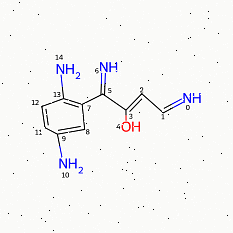 N=C/C=C(\O)C(=N)c1cc(N)ccc1N